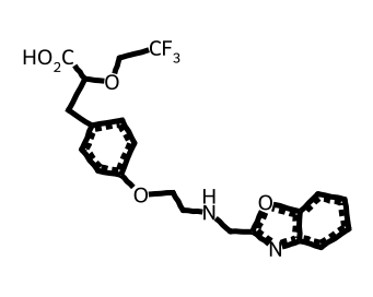 O=C(O)C(Cc1ccc(OCCNCc2nc3ccccc3o2)cc1)OCC(F)(F)F